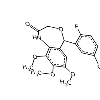 COc1cc2c(c(OC)c1OC)NC(=O)COC2c1cc(Cl)ccc1F